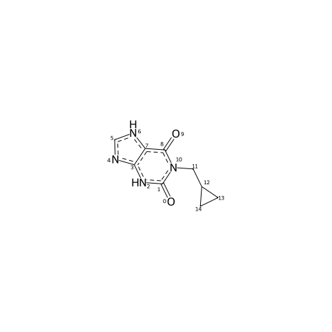 O=c1[nH]c2nc[nH]c2c(=O)n1CC1CC1